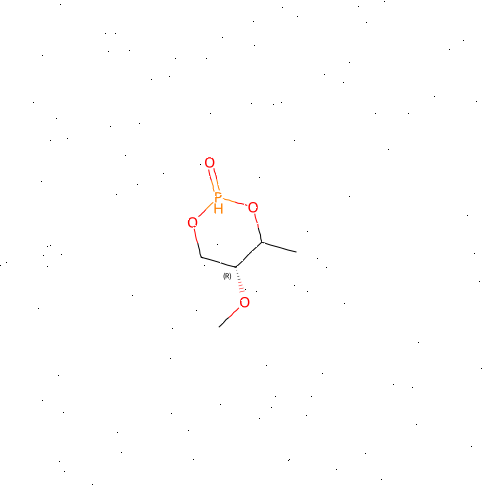 CO[C@@H]1CO[PH](=O)OC1C